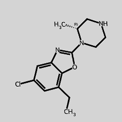 CCc1cc(Cl)cc2nc(N3CCNC[C@H]3C)oc12